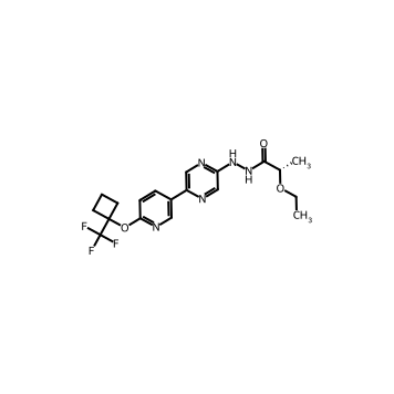 CCO[C@@H](C)C(=O)NNc1cnc(-c2ccc(OC3(C(F)(F)F)CCC3)nc2)cn1